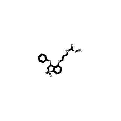 CC(C)(C)OC(=O)NCCCOc1cccc2c1C(Sc1ccccc1)CS2(=O)=O